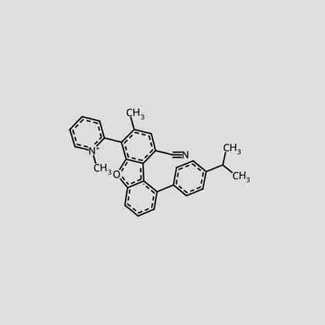 Cc1cc(C#N)c2c(oc3cccc(-c4ccc(C(C)C)cc4)c32)c1-c1cccc[n+]1C